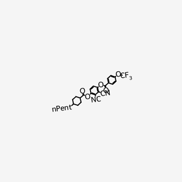 [C-]#[N+]c1c(OC(=O)C2CCC(CCCCC)CC2)ccc(OC(=O)c2ccc(OC(F)(F)F)cc2)c1C#N